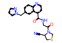 N#CC1CSCN1C(=O)CNC(=O)c1ccnc2ccc(Cn3cccn3)cc12